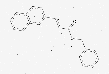 O=C(C=Cc1ccc2ccccc2c1)OCc1ccccc1